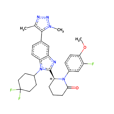 COc1ccc(N2C(=O)CCC[C@H]2c2nc3cc(-c4c(C)nnn4C)ccc3n2C2CCC(F)(F)CC2)cc1F